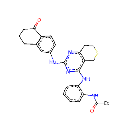 CCC(=O)Nc1ccccc1Nc1nc(Nc2ccc3c(c2)CCCC3=O)nc2c1CSCC2